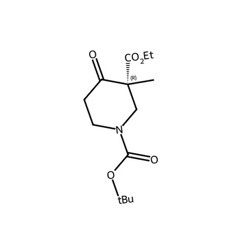 CCOC(=O)[C@]1(C)CN(C(=O)OC(C)(C)C)CCC1=O